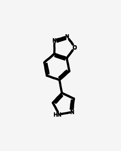 c1cc2nnoc2cc1-c1cn[nH]c1